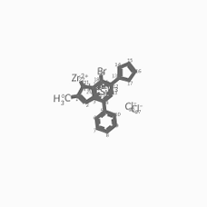 CC1=C2c3c(-c4ccccc4)c(c(C4=CC=CC4)c(Br)c3[CH]1[Zr+2])[Si]2(C)C.[Cl-].[Cl-]